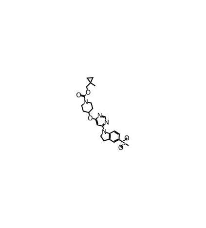 CC1(COC(=O)N2CCC(Oc3cc(N4CCc5cc(S(C)(=O)=O)ccc54)ncn3)CC2)CC1